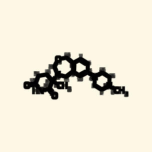 CN1CCN(c2ccc3c(c2)CN([C@@]2(C)CCC(=O)NC2=O)COC3)CC1